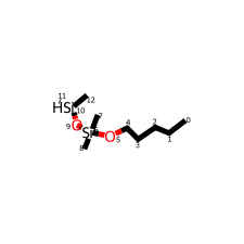 CCCCCO[Si](C)(C)O[SiH](C)C